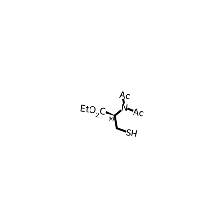 CCOC(=O)[C@H](CS)N(C(C)=O)C(C)=O